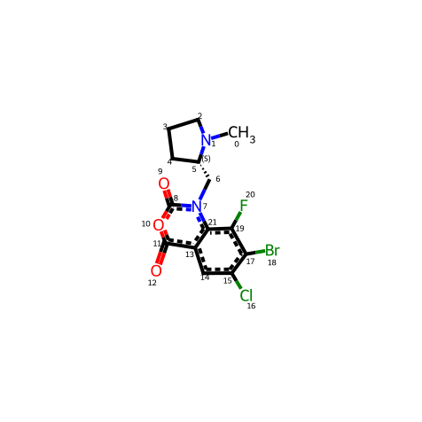 CN1CCC[C@H]1Cn1c(=O)oc(=O)c2cc(Cl)c(Br)c(F)c21